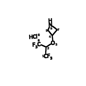 Cl.FC(F)(F)C(OC1CNC1)C(F)(F)F